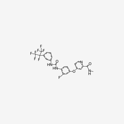 CNC(=O)c1cc(Oc2ccc(NC(=O)Nc3cccc(C(F)(C(F)(F)F)C(F)(F)F)c3)c(F)c2)ccn1